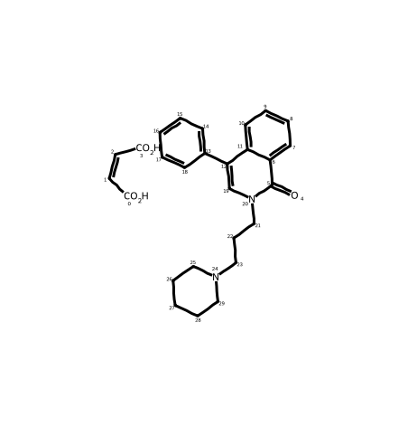 O=C(O)/C=C\C(=O)O.O=c1c2ccccc2c(-c2ccccc2)cn1CCCN1CCCCC1